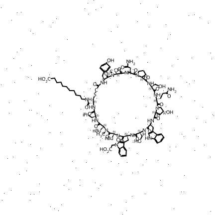 CCCC[C@H]1C(=O)N(C)[C@@H](CCCC)C(=O)N[C@@H](CC(C)C)C(=O)N[C@H](C(=O)NCCCCCCCCCCC(=O)O)CSCC(=O)N[C@@H](Cc2ccc(O)cc2)C(=O)N(C)[C@@H](C)C(=O)N[C@@H](CC(N)=O)C(=O)N2CCC[C@H]2C(=O)N[C@@H](CO)C(=O)N[C@H](CCC(N)=O)C(=O)N2C[C@H](O)C[C@H]2C(=O)N[C@@H](Cc2c[nH]c3ccccc23)C(=O)N[C@@H](CO)C(=O)N[C@@H](Cc2cn(CC(=O)O)c3ccccc23)C(=O)N1C